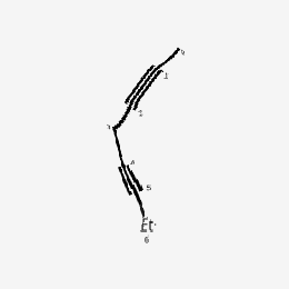 CC#CCC#C[CH]C